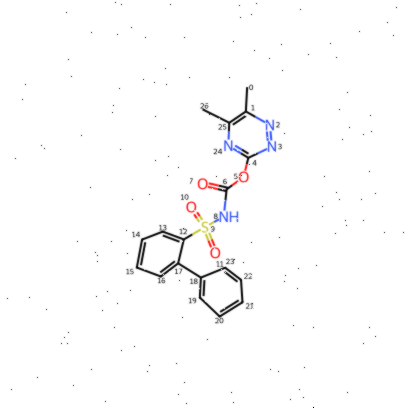 Cc1nnc(OC(=O)NS(=O)(=O)c2ccccc2-c2ccccc2)nc1C